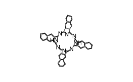 C1=c2ccccc2=CC2c3nc(nc4[nH]c(nc5nc(nc6[nH]c(n3)c3cc7ccccc7cc63)-c3cc6ccccc6cc3-5)c3cc5ccccc5cc43)C12